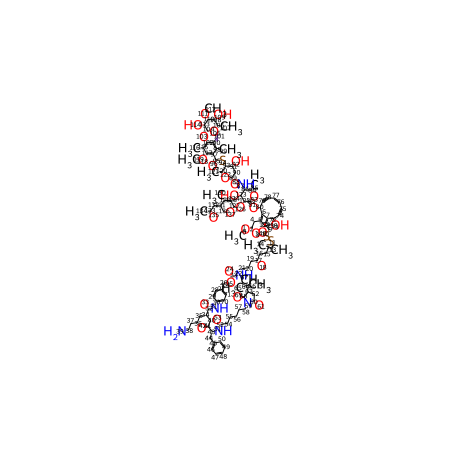 COC(=O)CC1=C2/C(=C/CSSC(C)(C)CCC(=O)CCCNC(=O)OCc3ccc(NC(=O)[C@H](CCCCN)CC(=O)[C@H](Cc4ccccc4)NC(=O)CCCCCN4C(=O)CC(C(C)(C)C)C4=O)cc3)[C@](O)(C#C/C=C\C#C[C@@H]2OC2OC(C)C(NOC3CC(O)C(SC(=O)c4c(C)c(I)c(OC5OC(C)C(O)C(OC)C5O)c(C)c4OC)C(C)O3)C(O)C2OC2CC(C)C(CC(C)=O)CO2)CC1=O